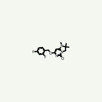 CN1c2cc(OCc3ccc(F)cc3F)nc(=O)n2CC1(C)C